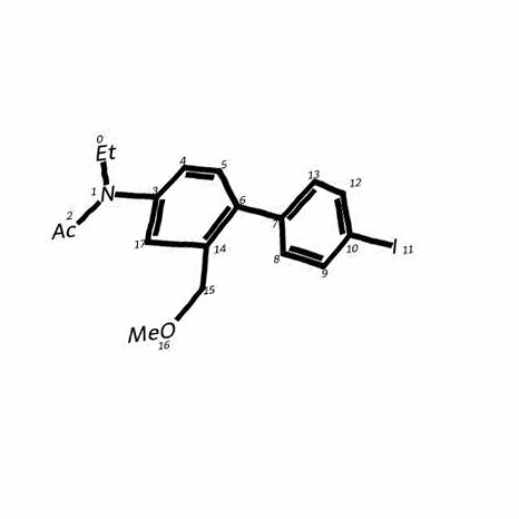 CCN(C(C)=O)c1ccc(-c2ccc(I)cc2)c(COC)c1